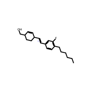 CCCCCCc1ccc(/C=C/C2C=CC(CO)CC2)cc1F